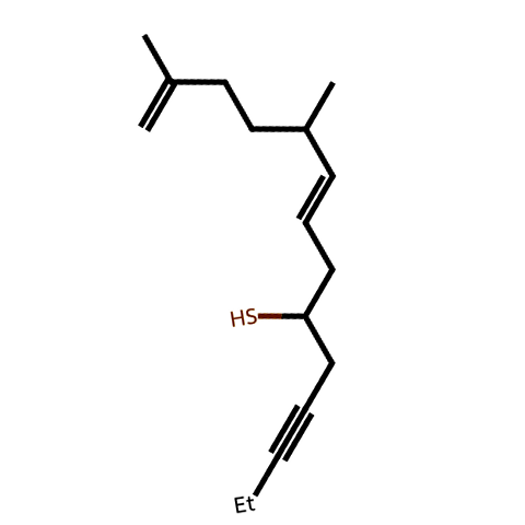 C=C(C)CCC(C)/C=C/CC(S)CC#CCC